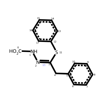 O=C(O)N/N=C(/Cc1ccccc1)Sc1ccccc1